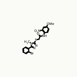 COc1ccc(NC(=O)CSc2nnc(-c3ccccc3Br)n2C)c([N+](=O)[O-])c1